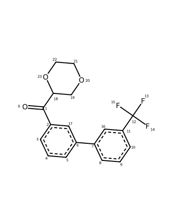 O=C(c1cccc(-c2cccc(C(F)(F)F)c2)c1)C1COCCO1